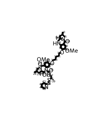 C=C1C[C@H]2CNc3cc(OCCCCCOc4cc5c(cc4OC)C(=O)N4CC(=C)C[C@H]4[C@H](O)N5C(=O)OC[C@@H](C)SSc4ccccn4)c(OC)cc3C(=O)N2C1